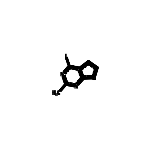 Cc1nc(I)c2ccoc2n1